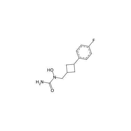 NC(=O)N(O)CC1CC(c2ccc(F)cc2)C1